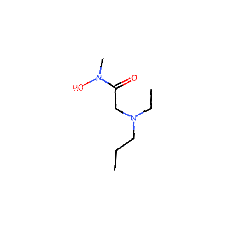 CCCN(CC)CC(=O)N(C)O